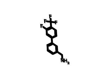 NCc1cccc(-c2ccc(C(F)(F)F)c(F)c2)c1